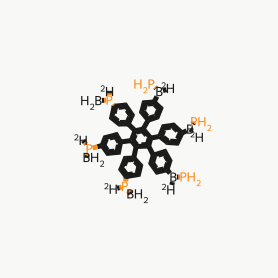 [2H]B(P)c1ccc(-c2c(-c3ccc(B([2H])P)cc3)c(-c3ccc(P([2H])B)cc3)c(-c3ccc(P([2H])B)cc3)c(-c3ccc(P([2H])B)cc3)c2-c2ccc(B([2H])P)cc2)cc1